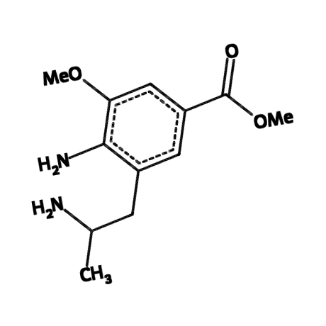 COC(=O)c1cc(CC(C)N)c(N)c(OC)c1